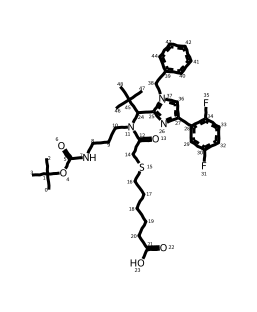 CC(C)(C)OC(=O)NCCCN(C(=O)CSCCCCCC(=O)O)C(c1nc(-c2cc(F)ccc2F)cn1Cc1ccccc1)C(C)(C)C